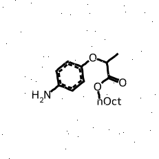 CCCCCCCCOC(=O)C(C)Oc1ccc(N)cc1